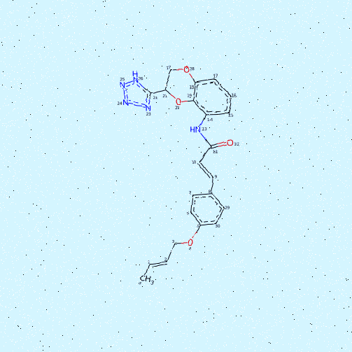 C/C=C/COc1ccc(C=CC(=O)Nc2cccc3c2OC(c2nnn[nH]2)CO3)cc1